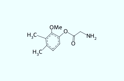 COc1c(OC(=O)CN)ccc(C)c1C